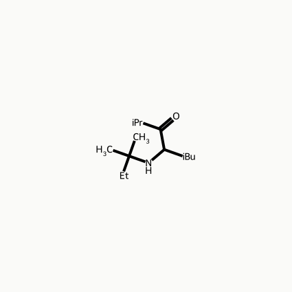 CCC(C)C(NC(C)(C)CC)C(=O)C(C)C